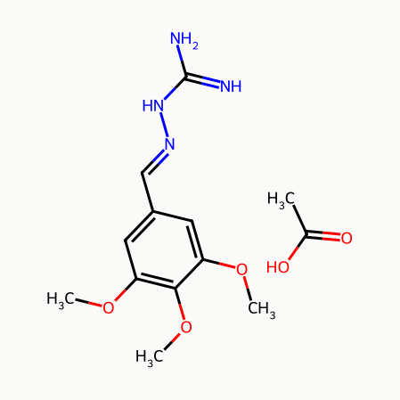 CC(=O)O.COc1cc(C=NNC(=N)N)cc(OC)c1OC